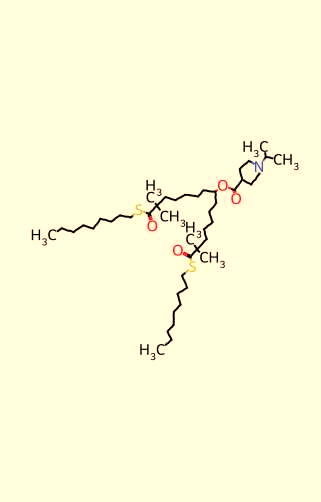 CCCCCCCCCSC(=O)C(C)(C)CCCCCC(CCCCCC(C)(C)C(=O)SCCCCCCCCC)OC(=O)C1CCN(C(C)C)CC1